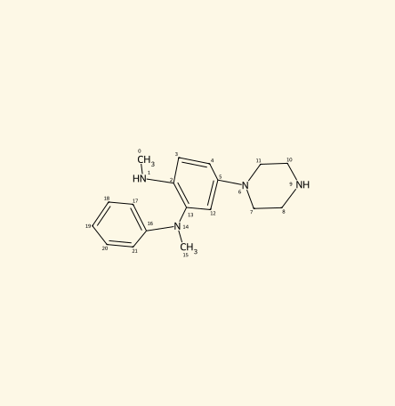 CNc1ccc(N2CCNCC2)cc1N(C)c1ccccc1